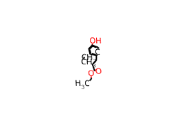 CC.CCOC(=O)CCc1ccc(O)cc1